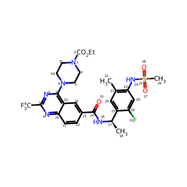 CCOC(=O)N1CCN(c2nc(C(F)(F)F)nc3ccc(C(=O)N[C@H](C)c4cc(C)c(NS(C)(=O)=O)cc4F)cc23)CC1